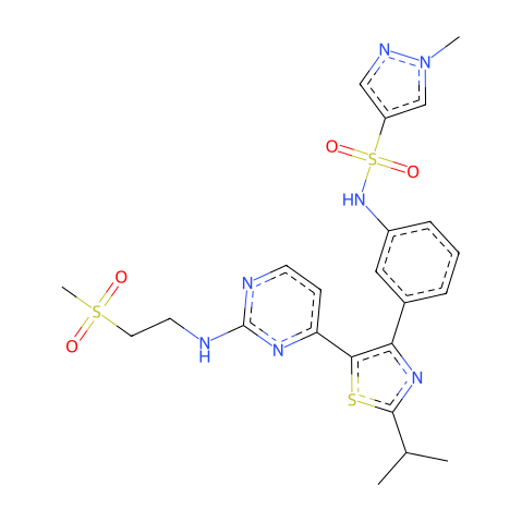 CC(C)c1nc(-c2cccc(NS(=O)(=O)c3cnn(C)c3)c2)c(-c2ccnc(NCCS(C)(=O)=O)n2)s1